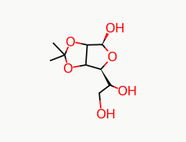 CC1(C)OC2C(O1)[C@@H](O)O[C@H]2C(O)CO